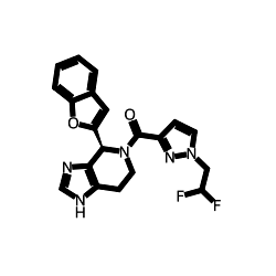 O=C(c1ccn(CC(F)F)n1)N1CCc2[nH]cnc2[C@H]1c1cc2ccccc2o1